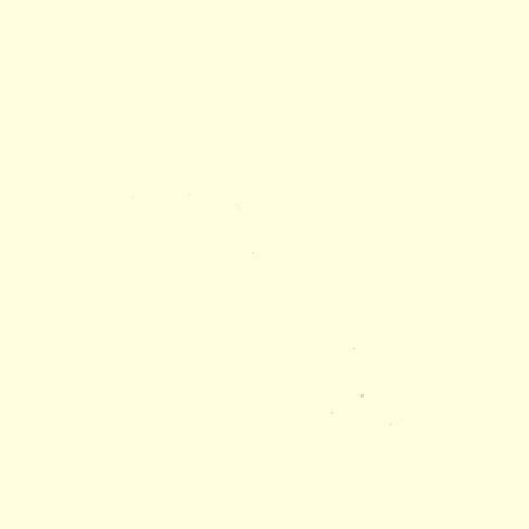 CCCCN(CCCC)CCCOc1ccc(C(=O)N(C)C)cc1